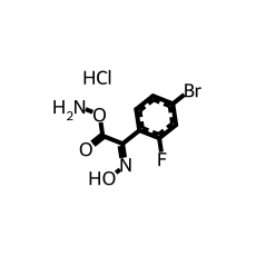 Cl.NOC(=O)C(=NO)c1ccc(Br)cc1F